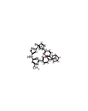 Cc1cc(Nc2cnn(C)c2)nc(-c2ccc(N3CC4CC(C3)N4Cc3ccc(-n4cc(F)cn4)nc3)nc2)n1